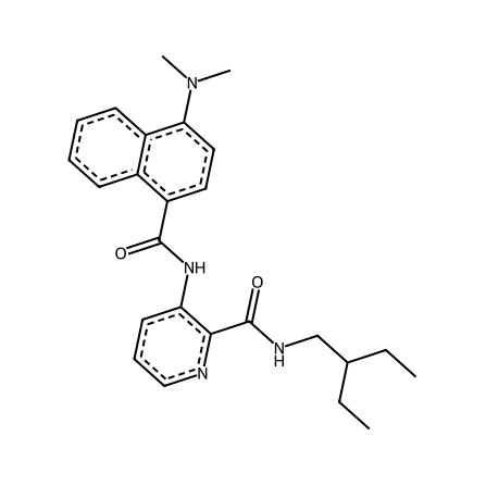 CCC(CC)CNC(=O)c1ncccc1NC(=O)c1ccc(N(C)C)c2ccccc12